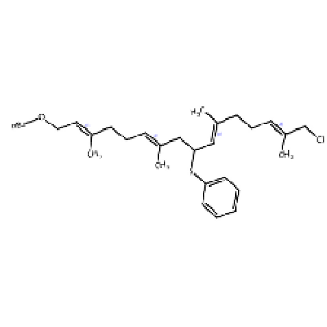 CCCCOC/C=C(\C)CC/C=C(\C)CC(/C=C(\C)CC/C=C(\C)CCl)Sc1ccccc1